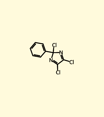 ClC1=NC(Cl)(c2ccccc2)N=C1Cl